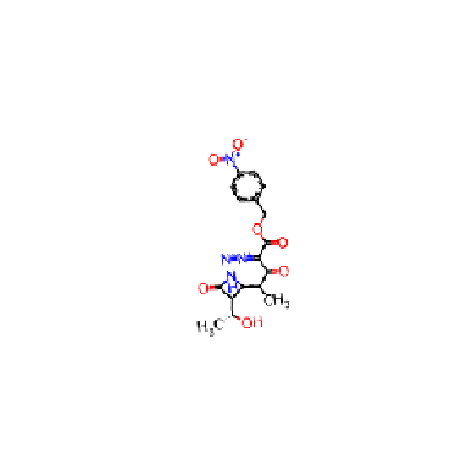 CC(C(=O)C(=[N+]=[N-])C(=O)OCc1ccc([N+](=O)[O-])cc1)C1NC(=O)C1[C@@H](C)O